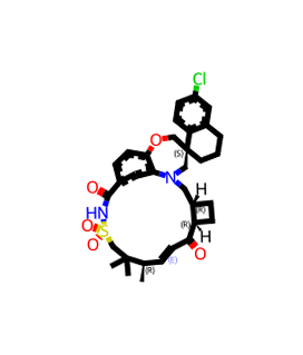 C[C@@H]1/C=C/C(=O)[C@@H]2CC[C@H]2CN2C[C@@]3(CCCc4cc(Cl)ccc43)COc3ccc(cc32)C(=O)NS(=O)(=O)CC1(C)C